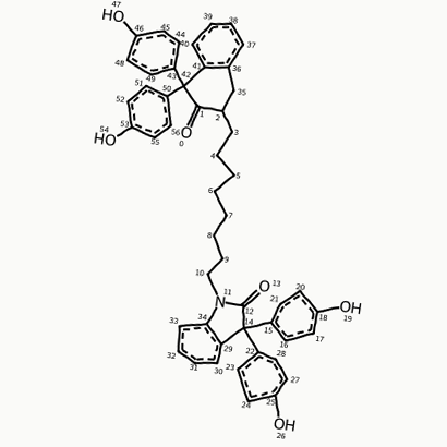 O=C1C(CCCCCCCCN2C(=O)C(c3ccc(O)cc3)(c3ccc(O)cc3)c3ccccc32)Cc2ccccc2C1(c1ccc(O)cc1)c1ccc(O)cc1